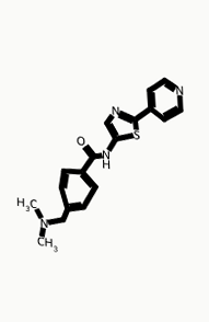 CN(C)Cc1ccc(C(=O)Nc2cnc(-c3ccncc3)s2)cc1